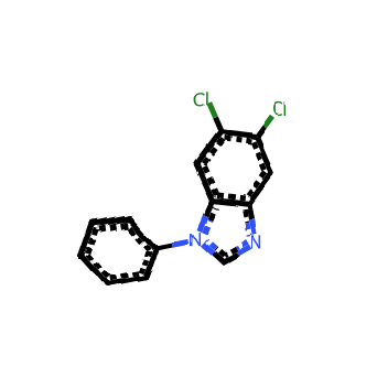 Clc1cc2ncn(-c3ccccc3)c2cc1Cl